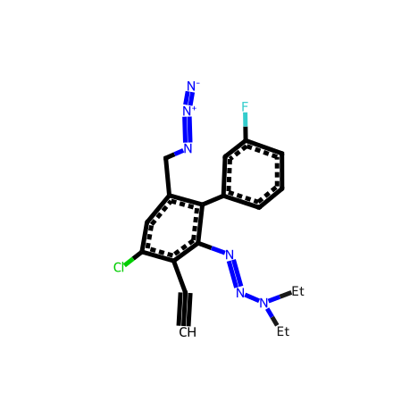 C#Cc1c(Cl)cc(CN=[N+]=[N-])c(-c2cccc(F)c2)c1/N=N/N(CC)CC